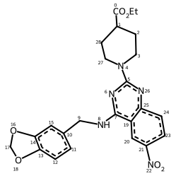 CCOC(=O)C1CCN(c2nc(NCc3ccc4c(c3)OCO4)c3cc([N+](=O)[O-])ccc3n2)CC1